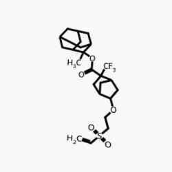 C=CS(=O)(=O)CCOC1CC2CC1CC2(C(=O)OC1(C)C2CC3CC(C2)CC1C3)C(F)(F)F